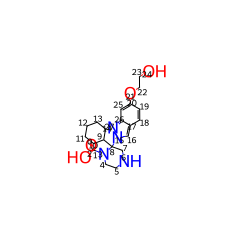 O=C(O)N1CCNCC1(C1CCCCC1)n1cc2ccc(OCCO)cc2n1